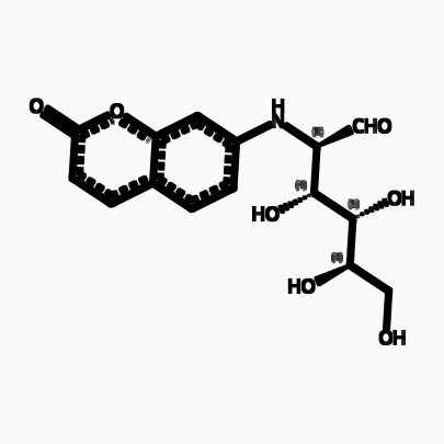 O=C[C@H](Nc1ccc2ccc(=O)oc2c1)[C@@H](O)[C@H](O)[C@H](O)CO